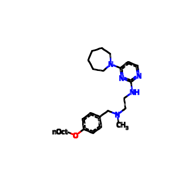 CCCCCCCCOc1ccc(CN(C)CCNc2nccc(N3CCCCCC3)n2)cc1